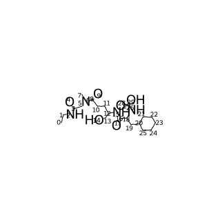 CCNC(=O)CN(C)C(=O)CCC(CO)NC(=O)C(CC1CCCCC1)NC(=O)O